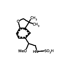 COC(CNS(=O)(=O)O)c1ccc2c(c1)C(C)(C)CO2